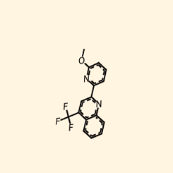 COc1cccc(-c2cc(C(F)(F)F)c3ccccc3n2)n1